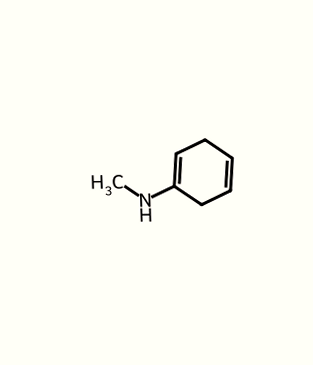 CNC1=CCC=CC1